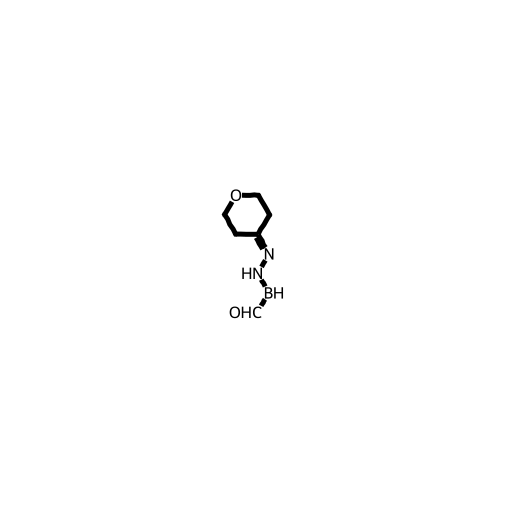 O=CBNN=C1CCOCC1